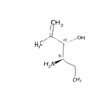 C=C(C)[C@H](O)[C@H](N)CC